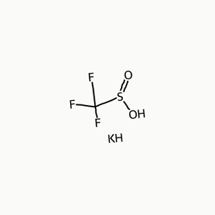 O=S(O)C(F)(F)F.[KH]